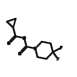 O=C(OC(=O)N1CCC(F)(F)CC1)C1CC1